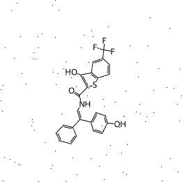 O=C(NC=C(c1ccccc1)c1ccc(O)cc1)c1sc2ccc(C(F)(F)F)cc2c1O